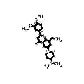 CCc1cc(N2CCC(N(C)C)CC2)cn2c(=O)cc(-c3ccc(OC)c(OC)c3)nc12